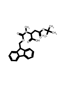 CN(C(=O)OCC1c2ccccc2-c2ccccc21)C(CC(=O)OC(C)(C)C)C(=O)O